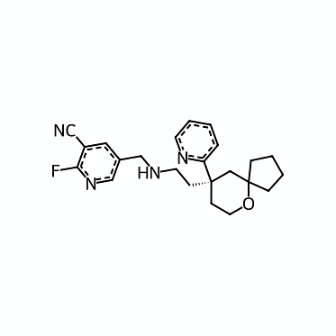 N#Cc1cc(CNCC[C@@]2(c3ccccn3)CCOC3(CCCC3)C2)cnc1F